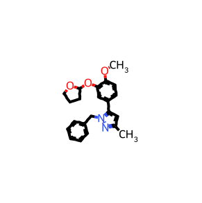 COc1ccc(-c2cc(C)nn2Cc2ccccc2)cc1OC1CCCO1